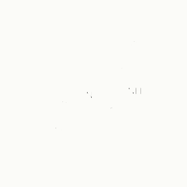 Cc1ccc(=O)n2c1C(=O)NC21CCCCC1